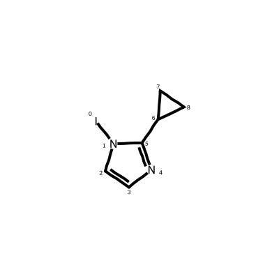 In1ccnc1C1CC1